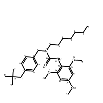 CCCCCCCN(Cc1ccc(CC(C)(C)C)cc1)C(=O)Nc1c(OC)cc(OC)cc1OC